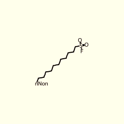 CCCCCCCCCCCCCCCCCCCCS(=O)(=O)F